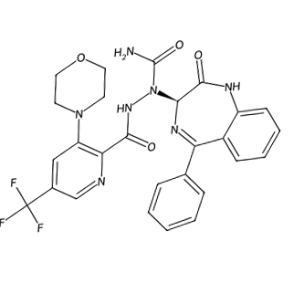 NC(=O)N(NC(=O)c1ncc(C(F)(F)F)cc1N1CCOCC1)[C@@H]1N=C(c2ccccc2)c2ccccc2NC1=O